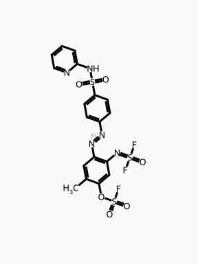 Cc1cc(/N=N/c2ccc(S(=O)(=O)Nc3ccccn3)cc2)c(N=S(=O)(F)F)cc1OS(=O)(=O)F